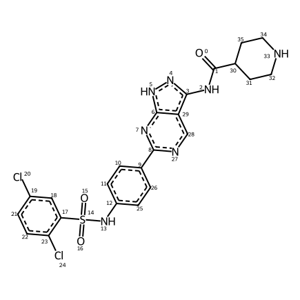 O=C(Nc1n[nH]c2nc(-c3ccc(NS(=O)(=O)c4cc(Cl)ccc4Cl)cc3)ncc12)C1CCNCC1